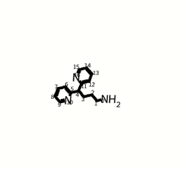 NCCCC(c1ccccn1)c1ccccn1